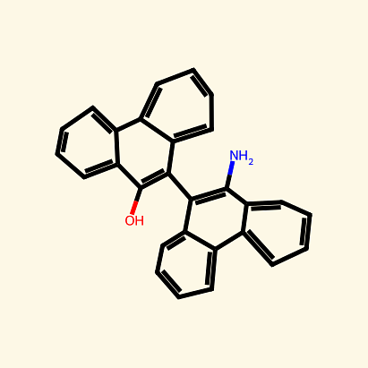 Nc1c(-c2c(O)c3ccccc3c3ccccc23)c2ccccc2c2ccccc12